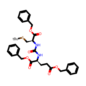 CC(C)(C)SC[C@H](NC(=O)N[C@@H](CCC(=O)OCc1ccccc1)C(=O)OCc1ccccc1)C(=O)OCc1ccccc1